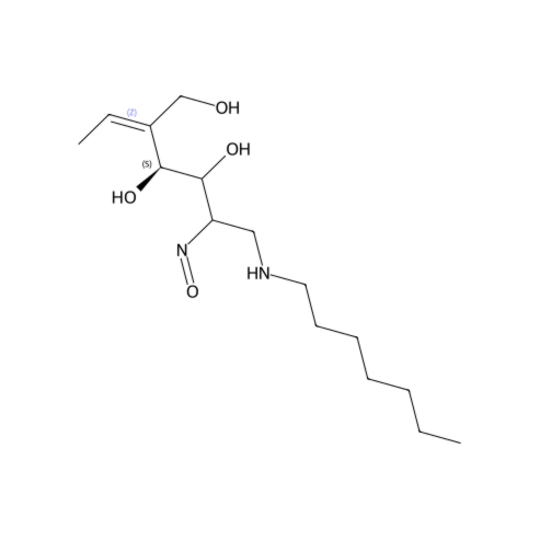 C/C=C(/CO)[C@H](O)C(O)C(CNCCCCCCC)N=O